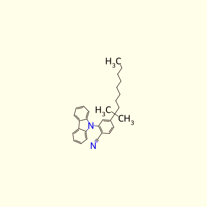 CCCCCCCCC(C)(C)c1ccc(C#N)c(-n2c3ccccc3c3ccccc32)c1